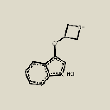 Cl.c1ccc2c(OC3CNC3)csc2c1